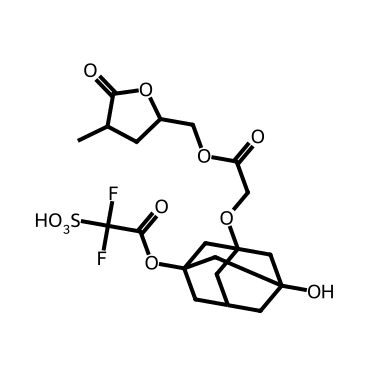 CC1CC(COC(=O)COC23CC4CC(O)(C2)CC(OC(=O)C(F)(F)S(=O)(=O)O)(C4)C3)OC1=O